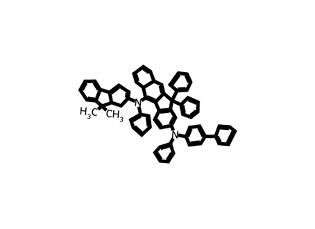 CC1(C)c2ccccc2C2=CC=C(N(C3=C4C(=CC5C=CC=CC35)C(c3ccccc3)(c3ccccc3)c3cc(N(c5ccccc5)c5ccc(-c6ccccc6)cc5)ccc34)c3ccccc3)CC21